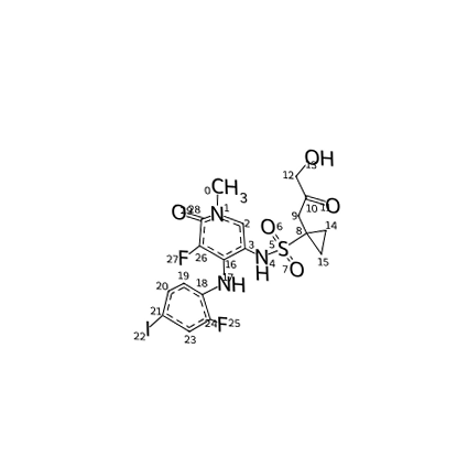 Cn1cc(NS(=O)(=O)C2(CC(=O)CO)CC2)c(Nc2ccc(I)cc2F)c(F)c1=O